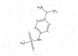 CC(N)c1ccc(NS(C)(=O)=O)cc1